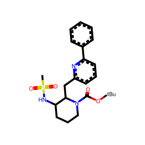 CC(C)(C)OC(=O)N1CCCC(NS(C)(=O)=O)C1Cc1cccc(-c2ccccc2)n1